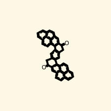 O=C1Cc2cc3c(cc2-c2c1cc1ccc4cccc5ccc2c1c45)CC(=O)c1cc2ccc4cccc5ccc(c1-3)c2c45